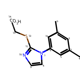 Cc1cc(C)cc(-n2ccnc2SCC(=O)O)c1